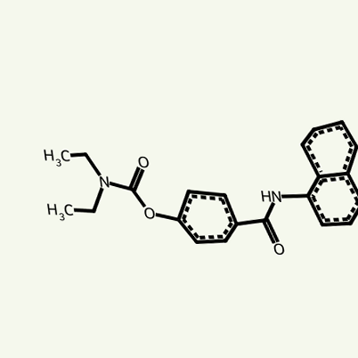 CCN(CC)C(=O)Oc1ccc(C(=O)Nc2cccc3ccccc23)cc1